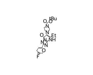 CCc1[nH]c2nc(C3=CC[C@H](F)CO3)nn2c(=O)c1N1CCN(C(=O)OC(C)(C)C)CC1